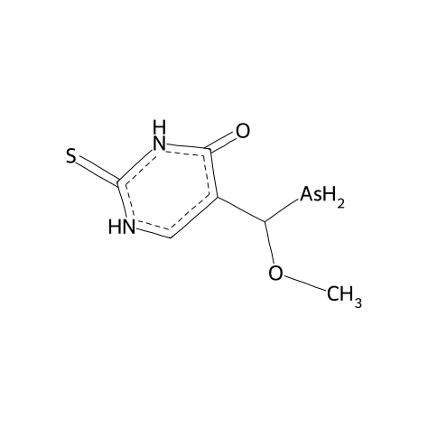 COC([AsH2])c1c[nH]c(=S)[nH]c1=O